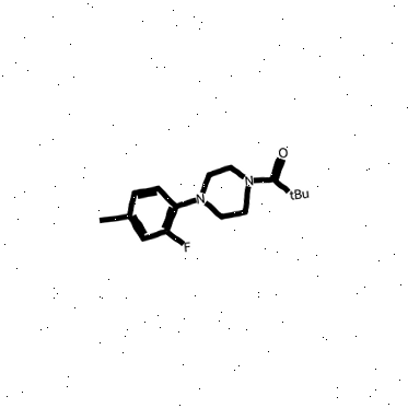 Cc1ccc(N2CCN(C(=O)C(C)(C)C)CC2)c(F)c1